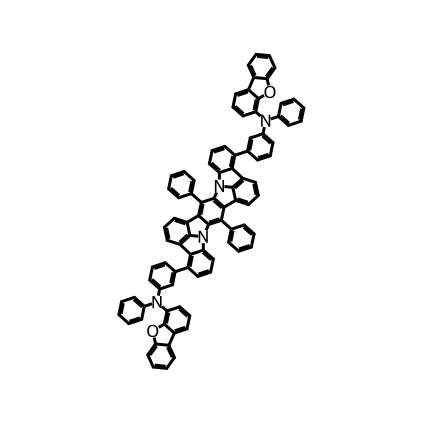 c1ccc(-c2c3c4cccc5c6c(-c7cccc(N(c8ccccc8)c8cccc9c8oc8ccccc89)c7)cccc6n(c3c(-c3ccccc3)c3c6cccc7c8c(-c9cccc(N(c%10ccccc%10)c%10cccc%11c%10oc%10ccccc%10%11)c9)cccc8n(c23)c76)c54)cc1